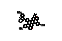 Cc1cc2c3c(c1)N(c1ccc(C(C)(C)C)cc1-c1ccccc1)c1cc4c(cc1B3c1ccc(N3c5ccc(C(C)(C)C)cc5C5(C)CCCCC35C)cc1N2c1ccc(C(C)(C)C)cc1-c1ccccc1)CC(C)(C)C4